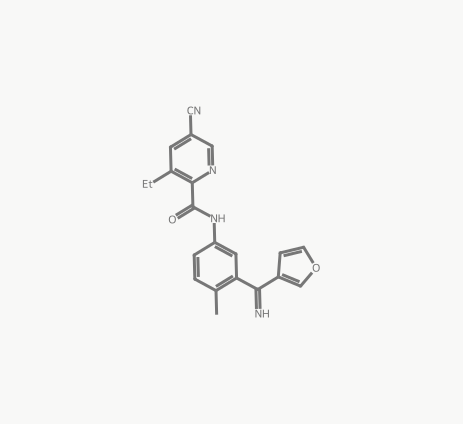 CCc1cc(C#N)cnc1C(=O)Nc1ccc(C)c(C(=N)c2ccoc2)c1